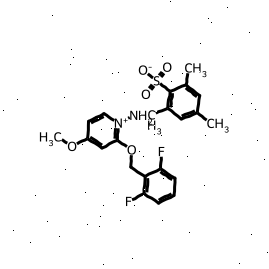 COc1cc[n+](N)c(OCc2c(F)cccc2F)c1.Cc1cc(C)c(S(=O)(=O)[O-])c(C)c1